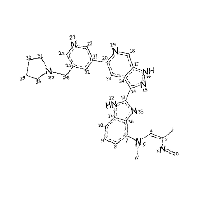 C=N/C(C)=C\N(C)c1cccc2[nH]c(-c3n[nH]c4cnc(-c5cncc(CN6CCCC6)c5)cc34)nc12